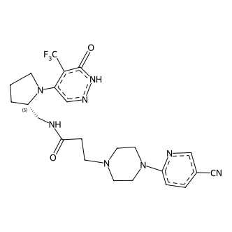 N#Cc1ccc(N2CCN(CCC(=O)NC[C@@H]3CCCN3c3cn[nH]c(=O)c3C(F)(F)F)CC2)nc1